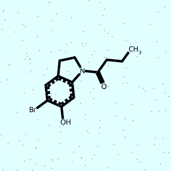 CCCC(=O)N1CCc2cc(Br)c(O)cc21